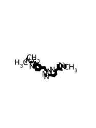 CN(C)c1nc2ccc(Cc3nnc4ccc(-c5cnn(C)c5)nn34)cc2s1